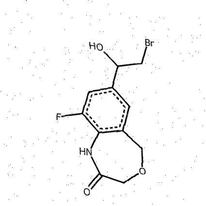 O=C1COCc2cc(C(O)CBr)cc(F)c2N1